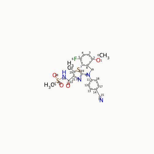 COc1ccc(F)cc1CN(c1ccc(C#N)cc1)c1nc(C(=O)NS(C)(=O)=O)c(C)s1